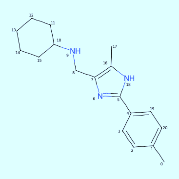 Cc1ccc(-c2nc(CNC3CCCCC3)c(C)[nH]2)cc1